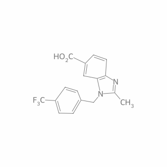 Cc1nc2ccc(C(=O)O)cc2n1Cc1ccc(C(F)(F)F)cc1